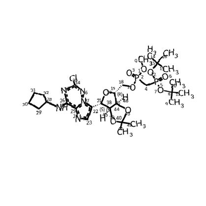 COP(=O)(CP(=O)(OC(C)(C)C)OC(C)(C)C)OC[C@H]1O[C@@H](c2cnc3c(NC4CCCC4)nc(Cl)nn23)[C@@H]2OC(C)(C)O[C@@H]21